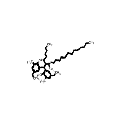 CCCCCCCCCCCCCSC(C)C(CCCCCC)C(c1cc(CC)cc(C)c1O)c1cc(CC)cc(C)c1O